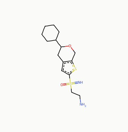 N=S(=O)(CCN)c1cc2c(s1)COC(C1CCCCC1)C2